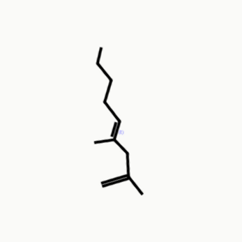 C=C(C)C/C(C)=C/CCCC